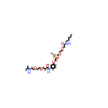 CC/C=C/CNC(=O)COCCOCOC(COc1cccc(NC(=O)CCOCCOCCNC(C)C)c1)SSC